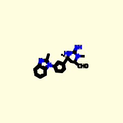 Cc1nc2ccccc2n1-c1cccc([C@]2(C)CC(C=O)N(C)C(=N)N2)c1